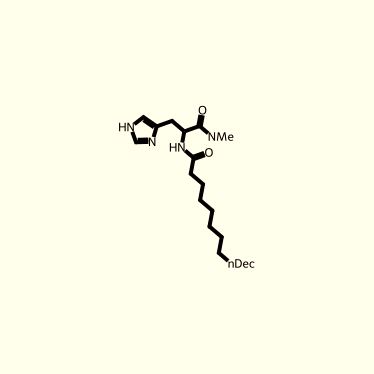 CCCCCCCCCCCCCCCCCC(=O)NC(Cc1c[nH]cn1)C(=O)NC